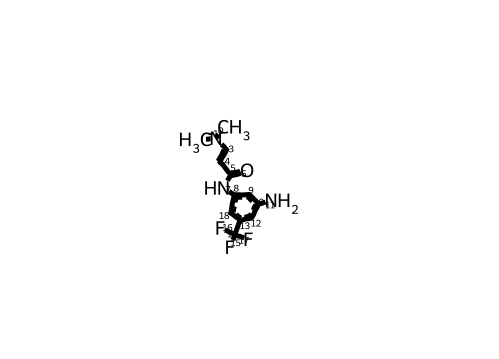 CN(C)C=CC(=O)Nc1cc(N)cc(C(F)(F)F)c1